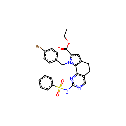 CCOC(=O)c1cc2c(n1Cc1ccc(Br)cc1)-c1nc(NS(=O)(=O)c3ccccc3)ncc1CC2